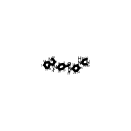 O=C(c1ccc(N(I)c2ccnc3ccccc23)cc1)N(I)c1cccc(Nc2ccncc2)c1